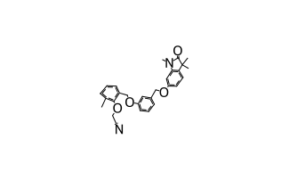 Cc1cccc(COc2cccc(COc3ccc4c(c3)N(C)C(=O)C4(C)C)c2)c1OCC#N